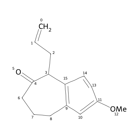 C=CCC1C(=O)CCCc2cc(OC)ccc21